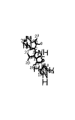 Cc1c(-c2[nH]c3sc([C@@H]4C[C@@H]5C[C@H]4CN5)c(C)c3c2C(C)C)cn2ncnc2c1C